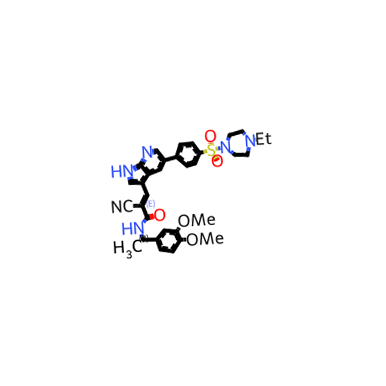 CCN1CCN(S(=O)(=O)c2ccc(-c3cnc4[nH]cc(/C=C(\C#N)C(=O)N[C@H](C)c5ccc(OC)c(OC)c5)c4c3)cc2)CC1